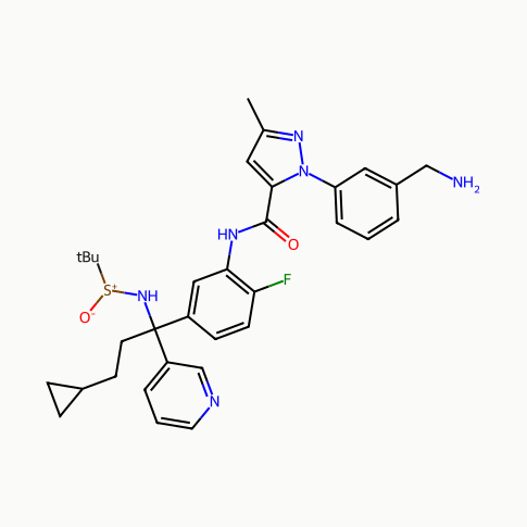 Cc1cc(C(=O)Nc2cc(C(CCC3CC3)(N[S+]([O-])C(C)(C)C)c3cccnc3)ccc2F)n(-c2cccc(CN)c2)n1